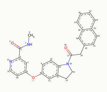 CNC(=O)c1cc(Oc2ccc3c(c2)CCN3C(=O)Cc2ccc3ccccc3c2)ccn1